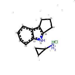 Cl.NC1CC1.c1ccc2c3c([nH]c2c1)CCC3